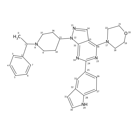 CC(c1ccccc1)N1CCC(n2ncc3c(N4CCOCC4)nc(-c4ccc5[nH]ccc5c4)nc32)CC1